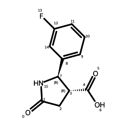 O=C1C[C@@H](C(=O)O)[C@H](c2cccc(F)c2)N1